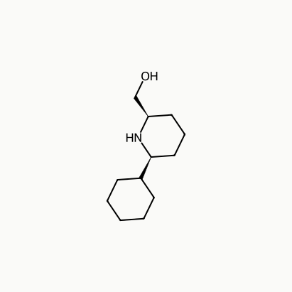 OC[C@H]1CCC[C@@H](C2CCCCC2)N1